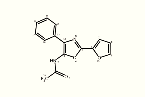 O=C(Nc1oc(-c2ccco2)nc1-c1ccccc1)C(F)(F)F